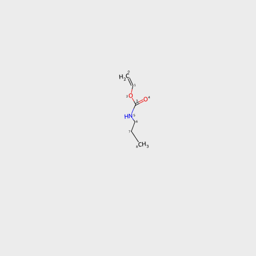 C=COC(=O)NCCC